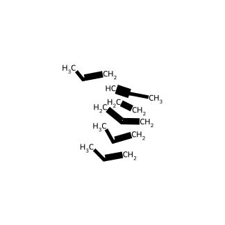 C#CC.C=C.C=C=C.C=CC.C=CC.C=CC